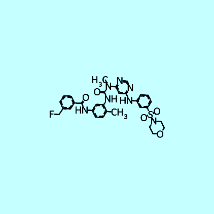 Cc1ccc(NC(=O)c2cccc(CF)c2)cc1NC(=O)N(C)c1cc(Nc2cccc(S(=O)(=O)N3CCOCC3)c2)ncn1